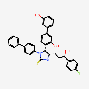 Oc1cccc(-c2ccc([C@@H]3[C@H](CC[C@H](O)c4ccc(F)cc4)NC(=S)N3c3ccc(-c4ccccc4)cc3)c(O)c2)c1